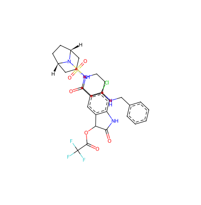 O=C(N[C@H]1C[C@H]2CC[C@@H](C1)N2S(=O)(=O)N1CCC(NCc2ccccc2)CC1)c1cc2c(cc1Cl)NC(=O)C2OC(=O)C(F)(F)F